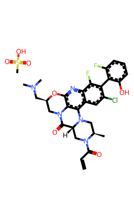 C=CC(=O)N1C[C@@H]2C(=O)N3C[C@@H](CN(C)C)Oc4nc5c(F)c(-c6c(O)cccc6F)c(Cl)cc5c(c43)N2C[C@H]1C.CS(=O)(=O)O